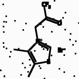 Cc1sc[n+](CC(=O)C(F)(F)F)c1C.[Br-]